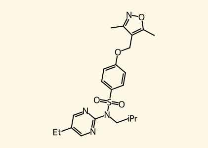 CCc1cnc(N(CC(C)C)S(=O)(=O)c2ccc(OCc3c(C)noc3C)cc2)nc1